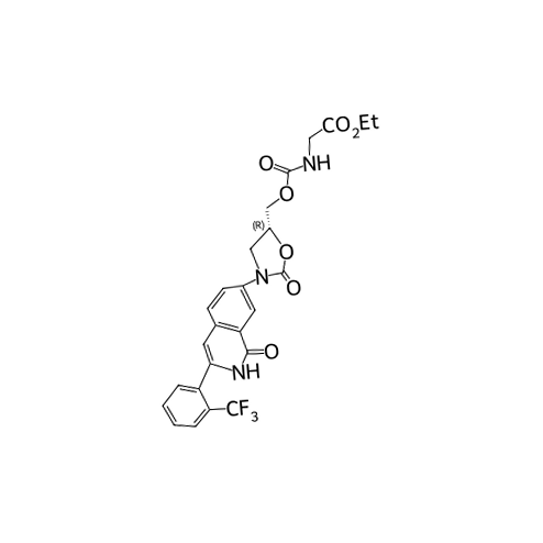 CCOC(=O)CNC(=O)OC[C@H]1CN(c2ccc3cc(-c4ccccc4C(F)(F)F)[nH]c(=O)c3c2)C(=O)O1